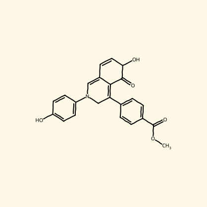 COC(=O)c1ccc(C2=C3C(=O)C(O)C=CC3=CN(c3ccc(O)cc3)C2)cc1